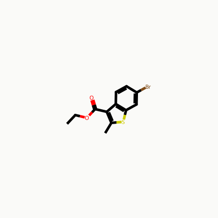 CCOC(=O)c1c(C)sc2cc(Br)ccc12